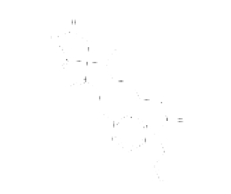 C=CCOC(=O)NCCCC(C)C(NC(=O)CCCCCCCCC)(C(N)=O)C(=O)OCc1ccccc1